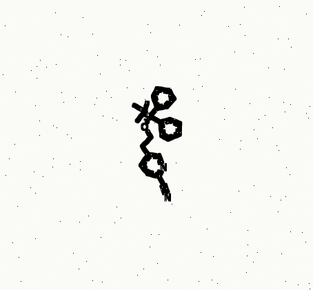 CC(C)(C)[Si](OCCc1ccc(C#N)nc1)(c1ccccc1)c1ccccc1